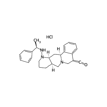 C[C@@H](NN1CCC[C@@H]2CN3CC(=C=O)c4ccccc4[C@@H]3C[C@@H]21)c1ccccc1.Cl